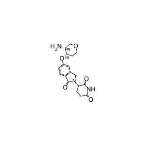 N[C@@H]1COCC[C@@H]1Oc1ccc2c(c1)CN(C1CCC(=O)NC1=O)C2=O